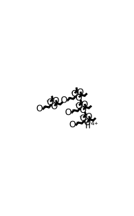 CCC(OCCCC[O-])OC(C)OC.CCC(OCCCC[O-])OC(C)OC.CCC(OCCCC[O-])OC(C)OC.CCC(OCCCC[O-])OC(C)OC.[Ti+4]